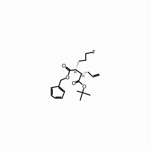 C=CC[C@H](C(=O)OC(C)(C)C)[C@@H](CCCF)C(=O)OCc1ccccc1